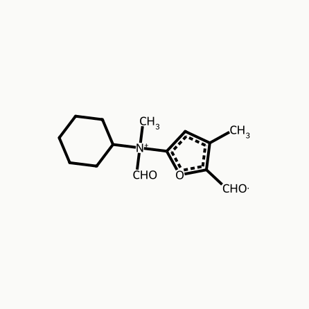 Cc1cc([N+](C)(C=O)C2CCCCC2)oc1[C]=O